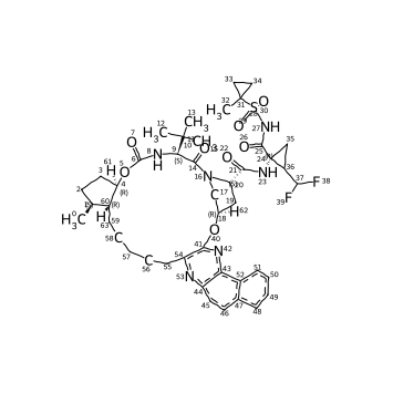 C[C@H]1CC[C@H]2OC(=O)N[C@@H](C(C)(C)C)C(=O)N3C[C@@H](C[C@H]3C(=O)N[C@]3(C(=O)NS(=O)(=O)C4(C)CC4)CC3C(F)F)Oc3nc4c(ccc5ccccc54)nc3CCCCC[C@H]12